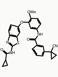 COc1ccc(NC(=O)c2cccc(C3(C#N)CC3)c2)cc1Oc1ccc2nc(NC(=O)C3CC3)sc2c1